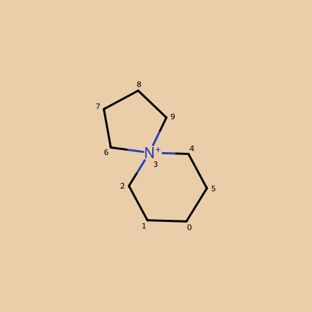 C1CC[N+]2(CC1)CCCC2